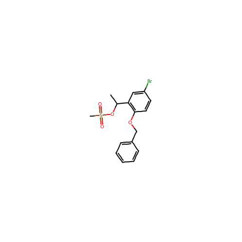 CC(OS(C)(=O)=O)c1cc(Br)ccc1OCc1ccccc1